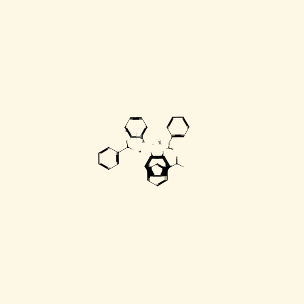 CC([O][Sn]([O][Sn]([O]C(C)c1ccccc1)([c]1ccccc1)[c]1ccccc1)([c]1ccccc1)[c]1ccccc1)c1ccccc1